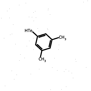 Cc1cc(C)cc([TeH])c1